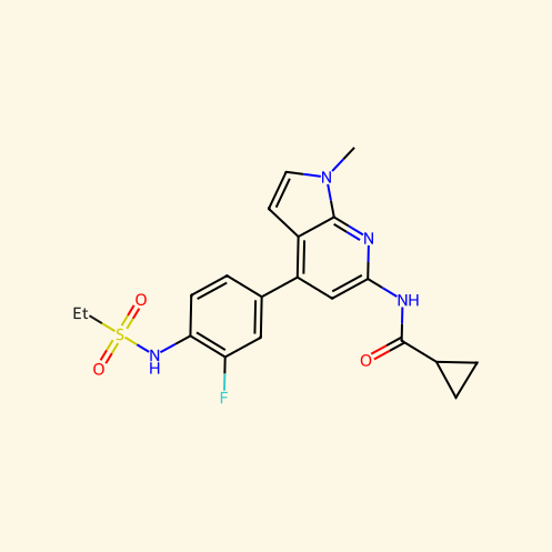 CCS(=O)(=O)Nc1ccc(-c2cc(NC(=O)C3CC3)nc3c2ccn3C)cc1F